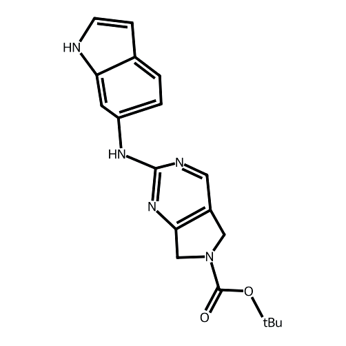 CC(C)(C)OC(=O)N1Cc2cnc(Nc3ccc4cc[nH]c4c3)nc2C1